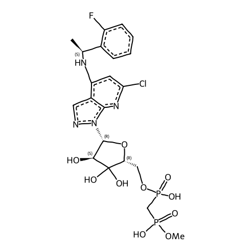 COP(=O)(O)CP(=O)(O)OC[C@H]1O[C@@H](n2ncc3c(N[C@@H](C)c4ccccc4F)cc(Cl)nc32)[C@H](O)C1(O)O